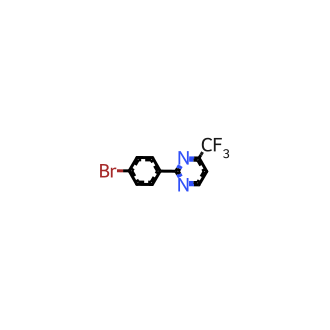 FC(F)(F)c1ccnc(-c2ccc(Br)cc2)n1